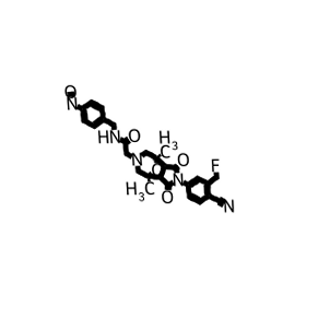 C[C@]12CN(CC(=O)NCc3ccc(N=O)cc3)C[C@](C)(O1)C1C(=O)N(c3ccc(C#N)c(CF)c3)C(=O)C12